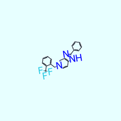 FC(F)(F)c1ccccc1CN1C=Cc2[nH]c(-c3ccccc3)nc2C1